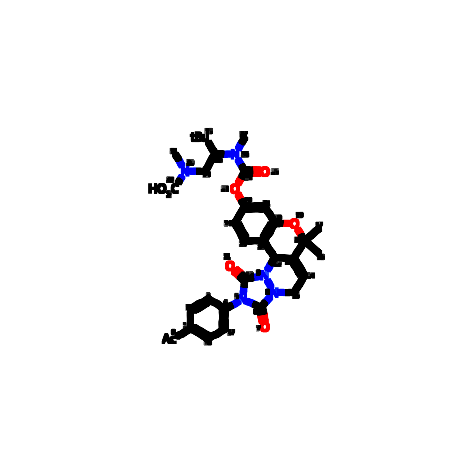 CC(=O)c1ccc(-n2c(=O)n3n(c2=O)C2C(=CC3)C(C)(C)Oc3cc(OC(=O)N(C)C(CN(C)C(=O)O)C(C)(C)C)ccc32)cc1